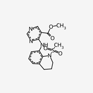 COC(=O)c1cncnc1Nc1cccc2c1N(S(C)(=O)=O)CCC2